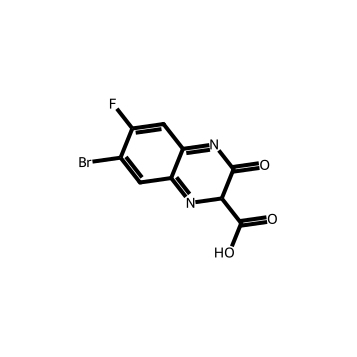 O=C(O)C1N=c2cc(Br)c(F)cc2=NC1=O